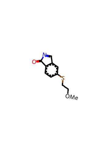 COCCSc1ccc2c(c1)C=NC2=O